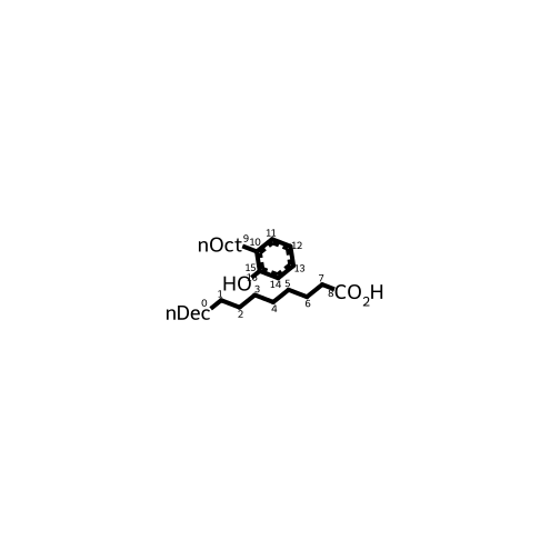 CCCCCCCCCCCCCCCCCC(=O)O.CCCCCCCCc1ccccc1O